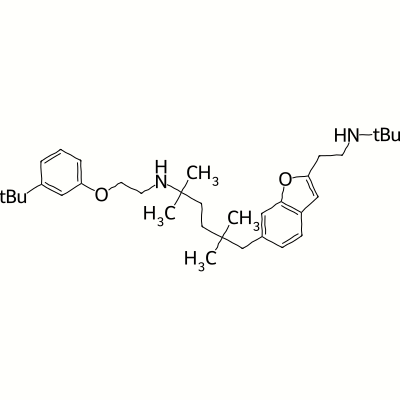 CC(C)(CCC(C)(C)NCCOc1cccc(C(C)(C)C)c1)Cc1ccc2cc(CCNC(C)(C)C)oc2c1